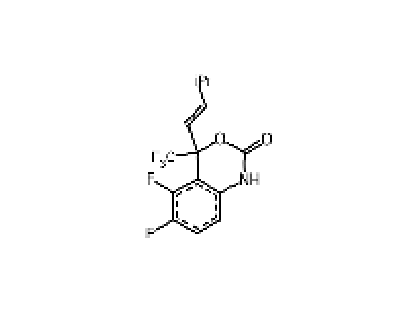 CC(C)C=CC1(C(F)(F)F)OC(=O)Nc2ccc(F)c(F)c21